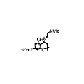 CCCCCc1cc(O)c2c(c1)OC(C)(C)CC2=NCCNC